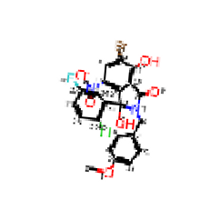 COc1ccc(CN2C(=O)c3c(O)c(Br)cc([N+](=O)[O-])c3C2(O)c2cc(F)ccc2Cl)cc1